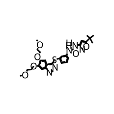 COCCOc1cc2ncnc(Sc3cccc(NC(=O)Nc4cc(C(C)(C)C)on4)c3)c2cc1OCCOC